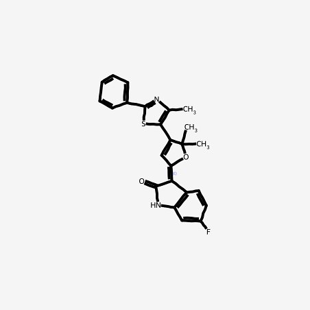 Cc1nc(-c2ccccc2)sc1C1=C/C(=C2\C(=O)Nc3cc(F)ccc32)OC1(C)C